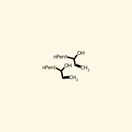 C=CC(O)CCCCC.C=CC(O)CCCCC